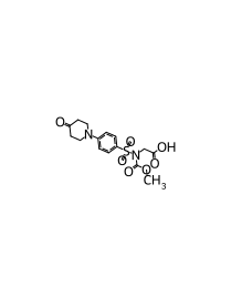 COC(=O)N(CC(=O)O)S(=O)(=O)c1ccc(N2CCC(=O)CC2)cc1